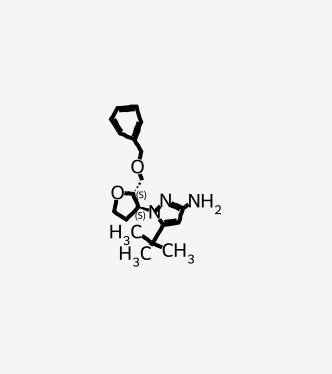 CC(C)(C)c1cc(N)nn1[C@H]1CCO[C@@H]1COCc1ccccc1